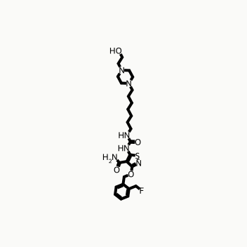 NC(=O)c1c(OCc2ccccc2CF)nsc1NC(=O)NCCCCCCCN1CCN(CCO)CC1